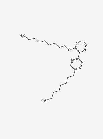 CCCCCCCCCOc1ccccc1-c1ncc(CCCCCCCC)cn1